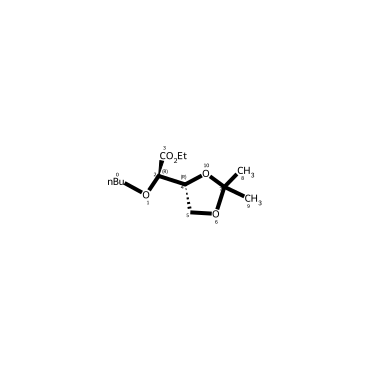 CCCCO[C@@H](C(=O)OCC)[C@H]1COC(C)(C)O1